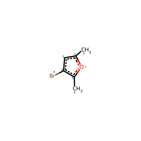 Cc1cc(Br)c(C)o1